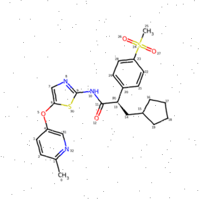 Cc1ccc(Oc2cnc(NC(=O)[C@H](CC3CCCC3)c3ccc(S(C)(=O)=O)cc3)s2)cn1